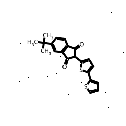 CC(C)(C)c1ccc2c(c1)C(=O)C(c1ccc(-c3cccs3)s1)C2=O